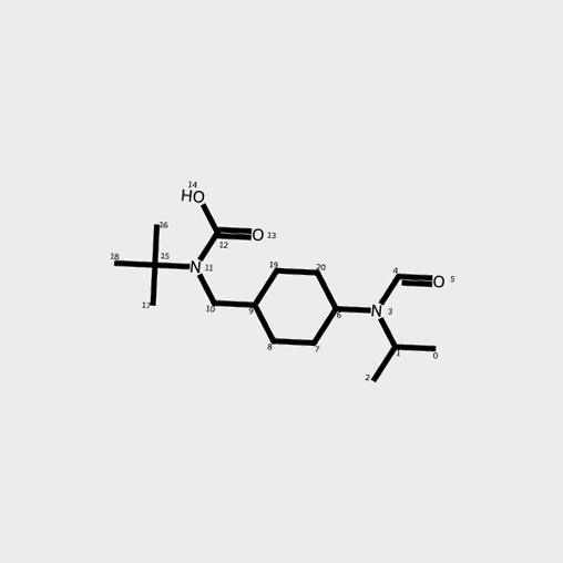 CC(C)N(C=O)C1CCC(CN(C(=O)O)C(C)(C)C)CC1